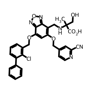 CC(CO)(NCc1c(OCc2ccnc(C#N)c2)cc(OCc2cccc(-c3ccccc3)c2Cl)c2nonc12)C(=O)O